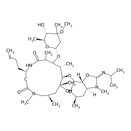 COC1(C)C[C@H](OC2C(C)C(=O)N[C@H](CCSC)CC(=O)N(C)C[C@H](C)C[C@@](C)(O)[C@H](OC3O[C@H](C)C[C@H]4[C@H]3O/C(=N/C(C)C)N4C)[C@H]2C)O[C@@H](C)[C@@H]1O